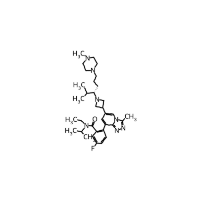 CCN(C(=O)c1cc(F)ccc1-c1cc(C2CN([C@@H](CCCN3CCN(C)CC3)C(C)C)C2)cn2c(C)nnc12)C(C)C